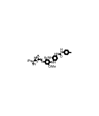 COc1cc(N=Nc2sc(N(C(C)C)C(C)C)n[n+]2C)c(NC(C)=O)cc1Nc1ccc(NC(=O)Nc2ccc(C)cc2)cc1